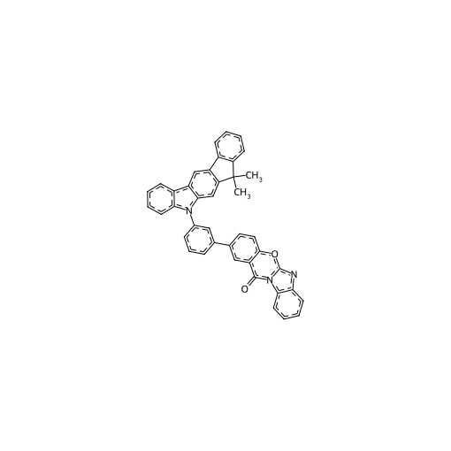 CC1(C)c2ccccc2-c2cc3c4ccccc4n(-c4cccc(-c5ccc6oc7nc8ccccc8n7c(=O)c6c5)c4)c3cc21